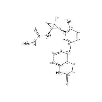 CCCCCCNC(=O)N[C@@]12C[C@H]1[C@H]2c1cc(Oc2ccnc3c2CCC(=O)N3)ccc1O